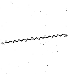 CCCCCCCCCCOCCOCCOCCOCCOCCOCCOCCOCCOCCO